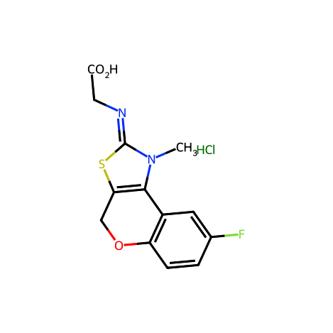 Cl.Cn1c2c(s/c1=N\CC(=O)O)COc1ccc(F)cc1-2